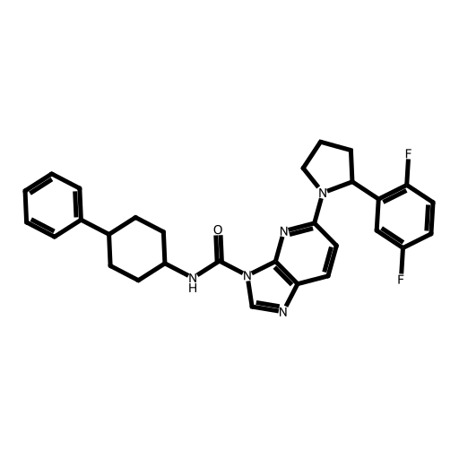 O=C(NC1CCC(c2ccccc2)CC1)n1cnc2ccc(N3CCCC3c3cc(F)ccc3F)nc21